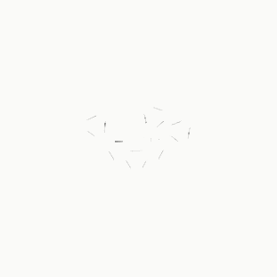 C1=CC(c2ccccc2)(c2ccccc2)Oc2c1ccc1cc3c(cc21)-c1ccccc1C3